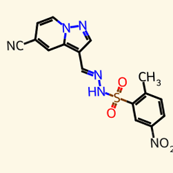 Cc1ccc([N+](=O)[O-])cc1S(=O)(=O)NN=Cc1cnn2ccc(C#N)cc12